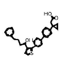 O=C(O)CC1(c2ccc(-c3ccc(-c4sccc4C(O)CCCc4ccccc4)cc3)cc2)CC1